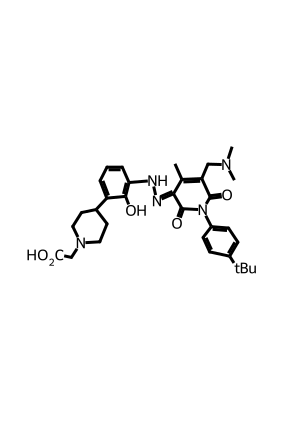 CC1=C(CN(C)C)C(=O)N(c2ccc(C(C)(C)C)cc2)C(=O)C1=NNc1cccc(C2CCN(CC(=O)O)CC2)c1O